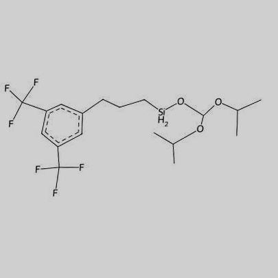 CC(C)OC(O[SiH2]CCCc1cc(C(F)(F)F)cc(C(F)(F)F)c1)OC(C)C